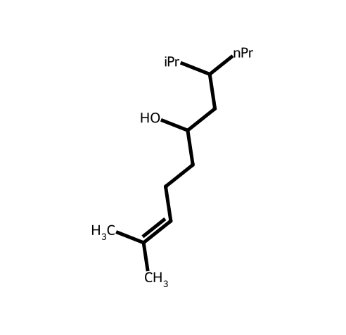 CCCC(CC(O)CCC=C(C)C)C(C)C